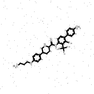 CCCCOc1ccc(C2CCC(C(=O)Oc3ccc(-c4ccc(C)cc4)c(F)c3C(F)(F)F)OC2)cc1